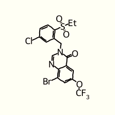 CCS(=O)(=O)c1ccc(Cl)cc1Cn1cnc2c(Br)cc(OC(F)(F)F)cc2c1=O